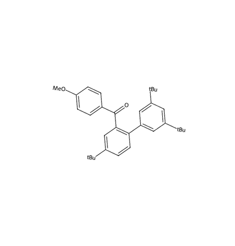 COc1ccc(C(=O)c2cc(C(C)(C)C)ccc2-c2cc(C(C)(C)C)cc(C(C)(C)C)c2)cc1